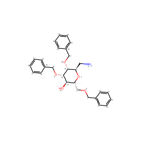 NC[C@H]1O[C@H](COCc2ccccc2)[C@@H](O)[C@H](OCc2ccccc2)[C@@H]1OCc1ccccc1